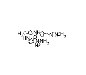 Cc1ccc(NC(=O)c2ccc(CCN3CCN(C)CC3)cc2)cc1Nc1nc(-c2nccc(N)n2)cs1